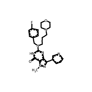 Cn1nc(-c2cccnc2)c2nc(N(CCCN3CCOCC3)Cc3ccc(F)cc3)[nH]c(=O)c21